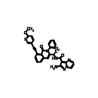 COc1ccc(C#Cc2cccc3cc([C@@H](C)NC(=O)c4c(N)nn5cccnc45)n(-c4ccccc4)c(=O)c23)cn1